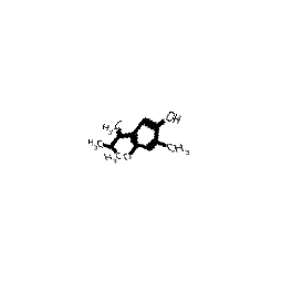 Cc1cc(Cl)c(C(C)C(C)C)cc1O